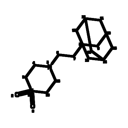 O=S1(=O)CCN(CCC23CC4CC(CC(C4)C2)C3)CC1